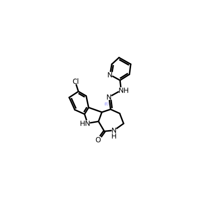 O=C1NCC/C(=N\Nc2ccccn2)C2c3cc(Cl)ccc3NC12